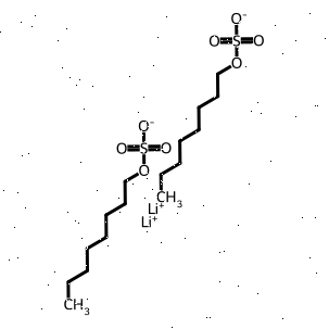 CCCCCCCCOS(=O)(=O)[O-].CCCCCCCCOS(=O)(=O)[O-].[Li+].[Li+]